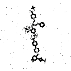 CC1(C)CCC(CN2CCN(c3ccc(C(=O)NS(=O)(=O)c4ccc(N[C@H](CCN5CCC(C(=O)OC(C)(C)C)CC5)CSc5ccccc5)c(S(=O)(=O)C(F)(F)F)c4)cc3)CC2)=C(C23CC(C(F)F)(C2)C3)C1